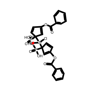 O=C(OC1=C[C](P(=O)(O)O)([Zr]([Cl])([Cl])[C]2(P(=O)(O)O)C=CC(OC(=O)c3ccccc3)=C2)C=C1)c1ccccc1